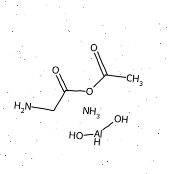 CC(=O)OC(=O)CN.N.[OH][AlH][OH]